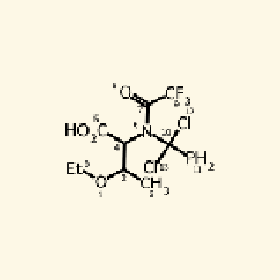 CCOC(C)C(C(=O)O)N(C(=O)C(F)(F)F)C(P)(Cl)Cl